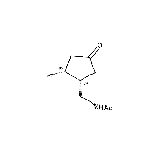 CC(=O)NC[C@H]1CC(=O)C[C@H]1C